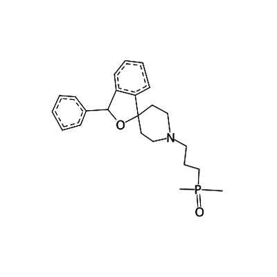 CP(C)(=O)CCCN1CCC2(CC1)OC(c1ccccc1)c1ccccc12